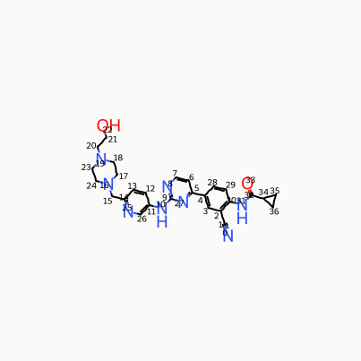 N#Cc1cc(-c2ccnc(Nc3ccc(CN4CCN(CCO)CC4)nc3)n2)ccc1NC(=O)C1CC1